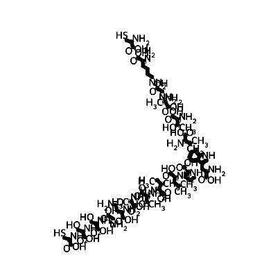 CC(C)C[C@H](N)C(=O)O.CC(C)[C@H](N)C(=O)O.CC[C@H](C)[C@H](N)C(=O)O.C[C@@H](O)[C@H](N)C(=O)O.C[C@@H](O)[C@H](N)C(=O)O.C[C@H](N)C(=O)O.C[C@H](N)C(=O)O.NC(=O)C[C@H](N)C(=O)O.NCC(=O)O.NCC(=O)O.NCCCC[C@H](N)C(=O)O.N[C@@H](CO)C(=O)O.N[C@@H](CO)C(=O)O.N[C@@H](CS)C(=O)O.N[C@@H](CS)C(=O)O.N[C@@H](Cc1c[nH]c2ccccc12)C(=O)O.O=C(O)[C@@H]1CCCN1